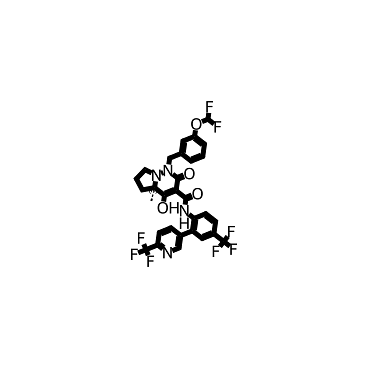 C[C@]12CCCN1N(Cc1cccc(OC(F)F)c1)C(=O)C(C(=O)Nc1ccc(C(F)(F)F)cc1-c1ccc(C(F)(F)F)nc1)=C2O